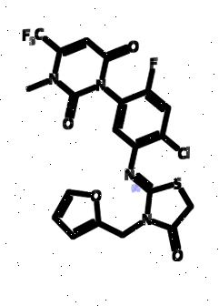 Cn1c(C(F)(F)F)cc(=O)n(-c2cc(/N=C3\SCC(=O)N3Cc3ccco3)c(Cl)cc2F)c1=O